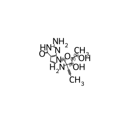 CC#CC1(N)[C@@H](O)[C@@H]([C@H](C)O)O[C@H]1n1ccc2c(=O)[nH]c(N)nc21